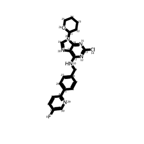 Fc1ccc(-c2ccc(CNc3nc(Cl)nc4c3ncn4C3CCCCO3)cc2)nc1